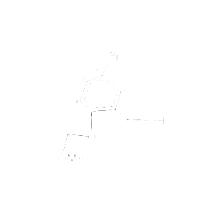 COCOc1ccc(Br)cc1CO